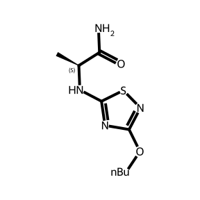 CCCCOc1nsc(N[C@@H](C)C(N)=O)n1